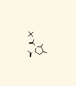 CC(=O)[C@@H]1CC(C)C(O)N1C(=O)OC(C)(C)C